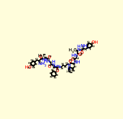 C[C@@H](NC(=O)[C@@H](N)Cc1ccc(O)cc1)C(=O)NCC(=O)N[C@@H](Cc1ccccc1)C(=O)NCCCCNC(=O)[C@H](Cc1ccccc1)NC(=O)CNC(=O)[C@@H](C)NC(=O)[C@@H](N)Cc1ccc(O)cc1